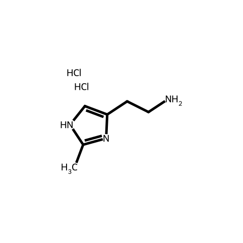 Cc1nc(CCN)c[nH]1.Cl.Cl